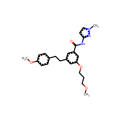 COCCCOc1cc(CCc2ccc(OC)cc2)cc(C(=O)Nc2ccn(C)n2)c1